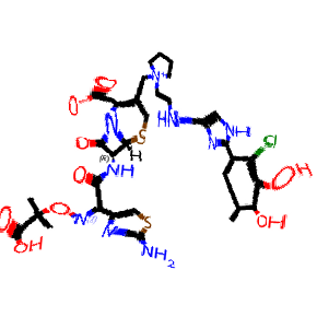 CC1C=C(c2nc(NCC[N+]3(CC4=C(C(=O)[O-])N5C(=O)[C@@H](NC(=O)/C(=N\OC(C)(C)C(=O)O)c6csc(N)n6)[C@H]5SC4)CCCC3)c[nH]2)C(Cl)=C(O)C1O